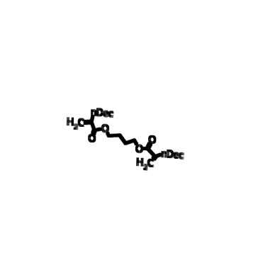 C=C(CCCCCCCCCC)C(=O)OCCCCOC(=O)C(=C)CCCCCCCCCC